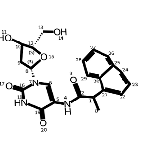 CC(C(=O)Nc1cn([C@@H]2CC(O)[C@H](CO)O2)c(=O)[nH]c1=O)c1cccc2ccccc12